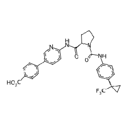 O=C(O)c1ccc(-c2ccc(NC(=O)[C@H]3CCCN3C(=O)Nc3ccc(C4(C(F)(F)F)CC4)cc3)nc2)cc1